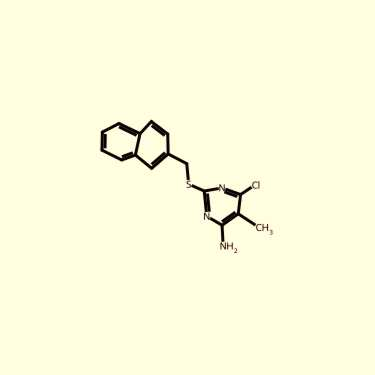 Cc1c(N)nc(SCc2ccc3ccccc3c2)nc1Cl